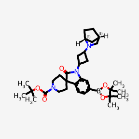 CC(C)(C)OC(=O)N1CCC2(CC1)C(=O)N(C1CC(N3C[C@H]4CC[C@@H]3C4)C1)c1cc(B3OC(C)(C)C(C)(C)O3)ccc12